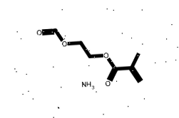 C=C(C)C(=O)OCCOC=O.N